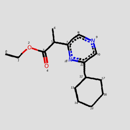 CCOC(=O)C(C)c1cncc(C2CCCCC2)n1